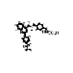 CN(C)S(=O)(=O)c1ccc(-c2cc(C(=O)NCC3CCC(CNC(=O)O)CC3)c3ccccc3n2)cc1